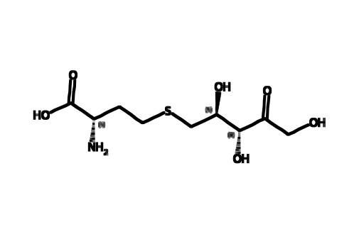 N[C@@H](CCSC[C@@H](O)[C@@H](O)C(=O)CO)C(=O)O